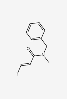 CN(Cc1ccccc1)C(=O)/C=C/I